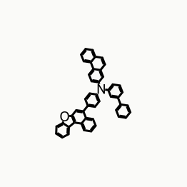 c1ccc(-c2cccc(N(c3ccc(-c4cc5oc6ccccc6c5c5ccccc45)cc3)c3ccc4c(ccc5ccccc54)c3)c2)cc1